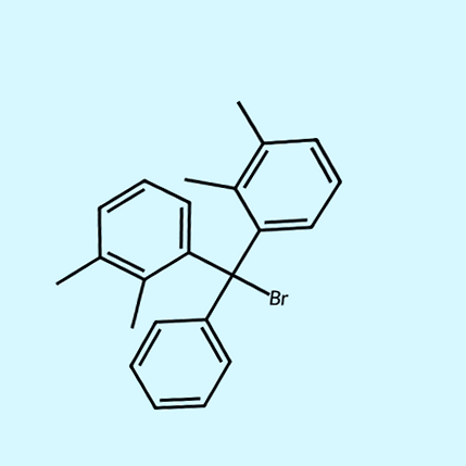 Cc1cccc(C(Br)(c2ccccc2)c2cccc(C)c2C)c1C